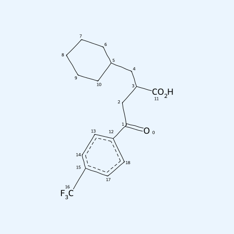 O=C(CC(CC1CCCCC1)C(=O)O)c1ccc(C(F)(F)F)cc1